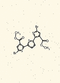 COC(=O)c1cc(Br)sc1-c1ccc(-c2sc(Br)cc2C(=O)OC)s1